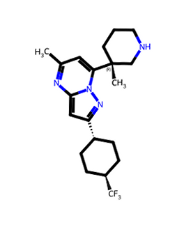 Cc1cc([C@]2(C)CCCNC2)n2nc([C@H]3CC[C@H](C(F)(F)F)CC3)cc2n1